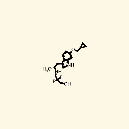 C[C@H](Cc1c[nH]c2cc(OCC3CC3)ccc12)NCC(F)(F)CO